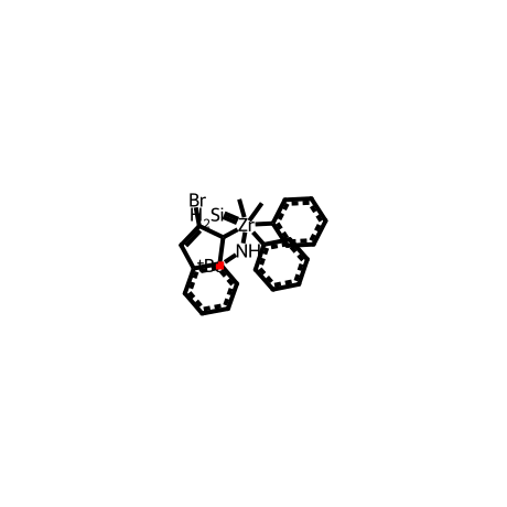 CC(C)(C)[NH][Zr]([CH3])([CH3])(=[SiH2])([c]1ccccc1)([c]1ccccc1)[CH]1C(Br)=Cc2ccccc21